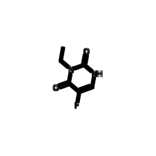 CCn1c(=O)[nH]cc(F)c1=O